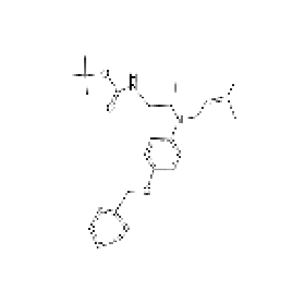 CC(C)=CCN(c1ccc(OCc2ccccc2)cc1)[C@@H](C)CNC(=O)OC(C)(C)C